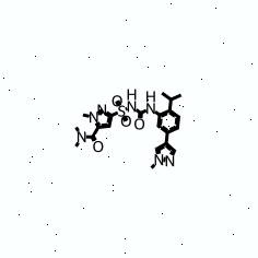 CC(C)c1ccc(-c2cnn(C)c2)cc1NC(=O)NS(=O)(=O)c1cc(C(=O)N(C)C)n(C)n1